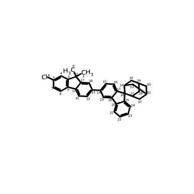 CC1(C)c2cc(Cl)ccc2-c2ccc(-c3ccc4c(c3)-c3ccccc3C43C4CC5CC(C4)CC3C5)cc21